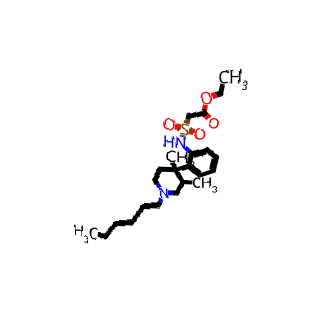 CCCCCCN1CCC(C)(c2ccccc2NS(=O)(=O)CC(=O)OCC)C(C)C1